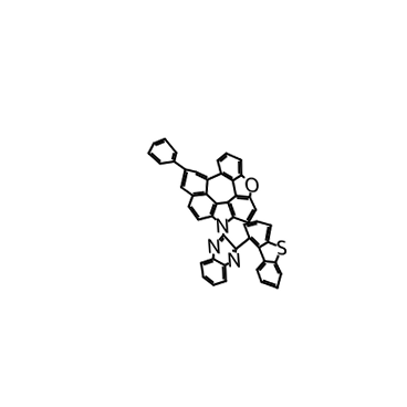 c1ccc(-c2cc3c4c(ccc5c4c4c6c(ccc4n5-c4nc5ccccc5nc4-c4cccc5sc7ccccc7c45)oc4cccc-3c46)c2)cc1